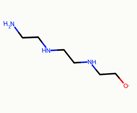 NCCNCCNCC[O]